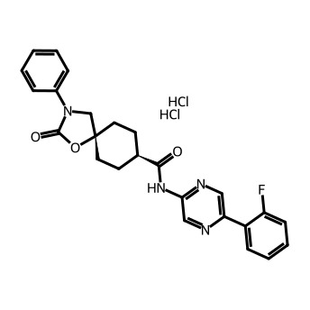 Cl.Cl.O=C1O[C@]2(CC[C@H](C(=O)Nc3cnc(-c4ccccc4F)cn3)CC2)CN1c1ccccc1